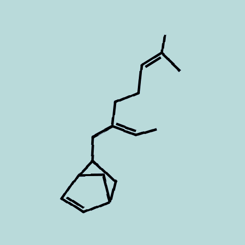 CC=C(CCC=C(C)C)CC1CC2C=CC1C2